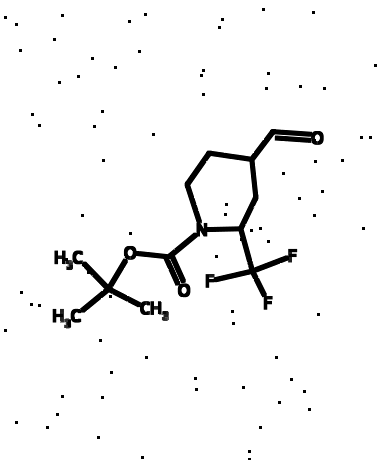 CC(C)(C)OC(=O)N1CCC(C=O)CC1C(F)(F)F